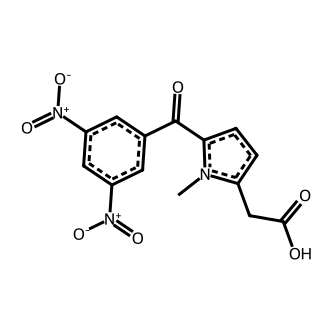 Cn1c(CC(=O)O)ccc1C(=O)c1cc([N+](=O)[O-])cc([N+](=O)[O-])c1